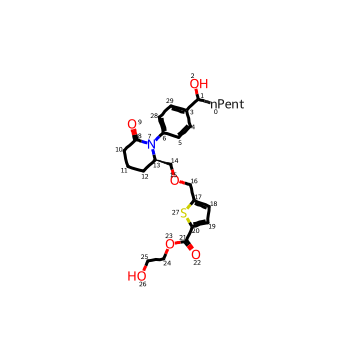 CCCCCC(O)c1ccc(N2C(=O)CCC[C@@H]2COCc2ccc(C(=O)OCCO)s2)cc1